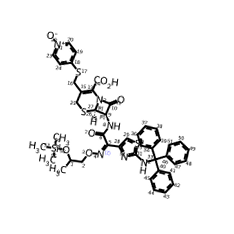 CC(CO/N=C(\C(=O)N[C@@H]1C(=O)N2C(C(=O)O)=C(CSc3cc[n+]([O-])cc3)CS[C@H]12)c1csc(NC(c2ccccc2)(c2ccccc2)c2ccccc2)n1)O[Si](C)(C)C